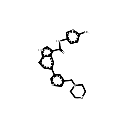 Cc1ccc(NC(=O)c2c[nH]c3ccc(-c4cncc(CN5CCOCC5)c4)cc23)cn1